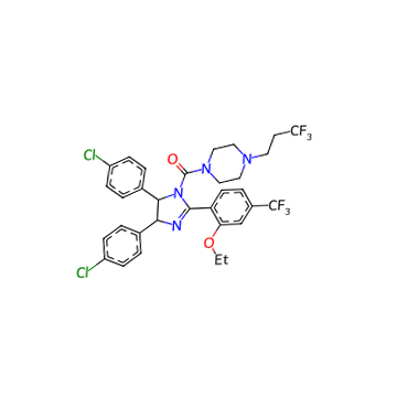 CCOc1cc(C(F)(F)F)ccc1C1=NC(c2ccc(Cl)cc2)C(c2ccc(Cl)cc2)N1C(=O)N1CCN(CCC(F)(F)F)CC1